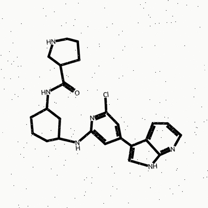 O=C(NC1CCCC(Nc2cc(-c3c[nH]c4ncccc34)cc(Cl)n2)C1)C1CCCNC1